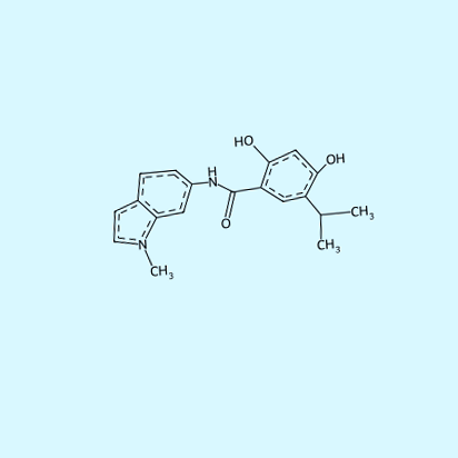 CC(C)c1cc(C(=O)Nc2ccc3ccn(C)c3c2)c(O)cc1O